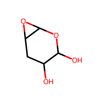 OC1CC2OC2OC1O